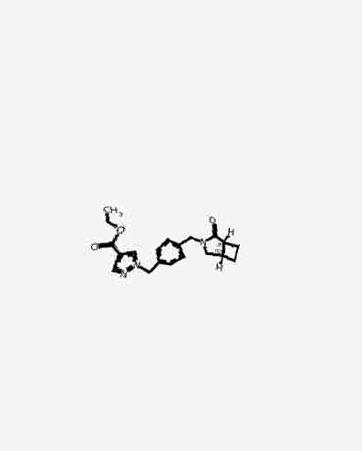 CCOC(=O)c1cnn(Cc2ccc(CN3C[C@H]4CC[C@H]4C3=O)cc2)c1